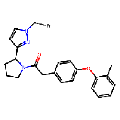 Cc1ccccc1Oc1ccc(CC(=O)N2CCCC2c2ccn(CC(C)C)n2)cc1